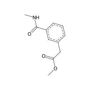 CNC(=O)c1cccc(CC(=O)OC)c1